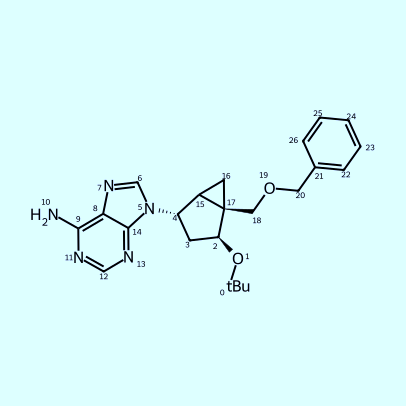 CC(C)(C)O[C@H]1C[C@H](n2cnc3c(N)ncnc32)C2C[C@@]21COCc1ccccc1